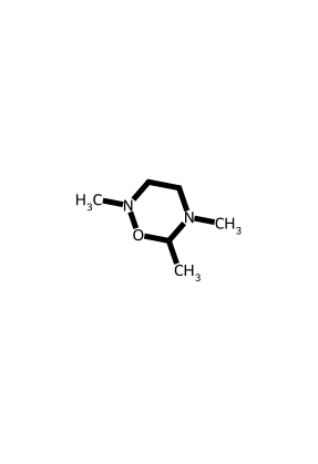 CC1ON(C)CCN1C